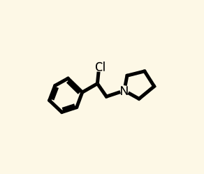 ClC(CN1CCCC1)c1ccccc1